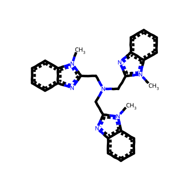 Cn1c(CN(Cc2nc3ccccc3n2C)Cc2nc3ccccc3n2C)nc2ccccc21